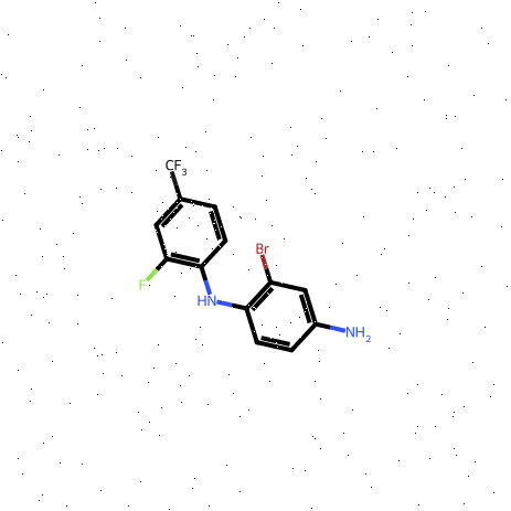 Nc1ccc(Nc2ccc(C(F)(F)F)cc2F)c(Br)c1